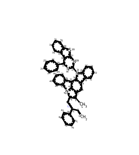 C=C/C(=C\c1c(C)c2cc3c4ccccc4n(-c4nc(-c5ccccc5)c5c(n4)sc4ccccc45)c3c3c4ccccc4n1c23)c1ccccc1